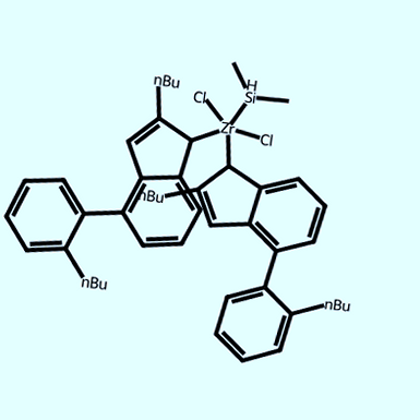 CCCCC1=Cc2c(-c3ccccc3CCCC)cccc2[CH]1[Zr]([Cl])([Cl])([CH]1C(CCCC)=Cc2c(-c3ccccc3CCCC)cccc21)[SiH](C)C